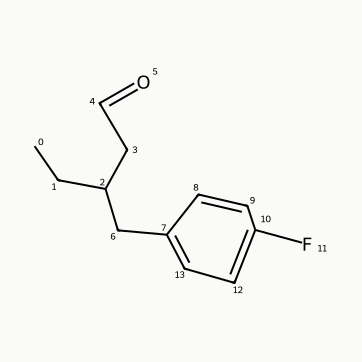 CCC(CC=O)Cc1ccc(F)cc1